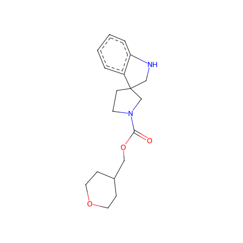 O=C(OCC1CCOCC1)N1CCC2(CNc3ccccc32)C1